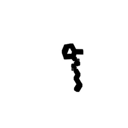 C=CCCSSC1=CC=CCC1=C